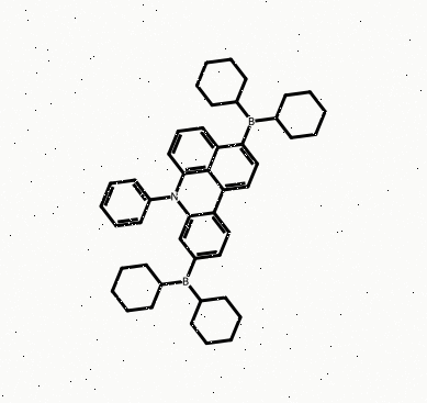 c1ccc(N2c3cc(B(C4CCCCC4)C4CCCCC4)ccc3-c3ccc(B(C4CCCCC4)C4CCCCC4)c4cccc2c34)cc1